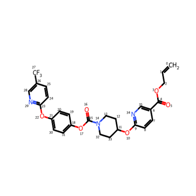 C=CCOC(=O)c1ccc(OC2CCN(C(=O)Oc3ccc(Oc4ccc(C(F)(F)F)cn4)cc3)CC2)nc1